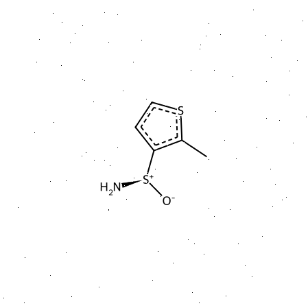 Cc1sccc1[S@+](N)[O-]